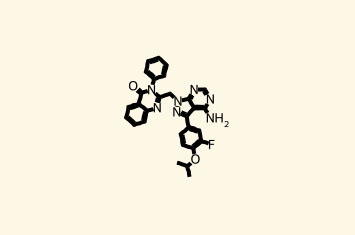 CC(C)Oc1ccc(-c2nn(Cc3nc4ccccc4c(=O)n3-c3ccccc3)c3ncnc(N)c23)cc1F